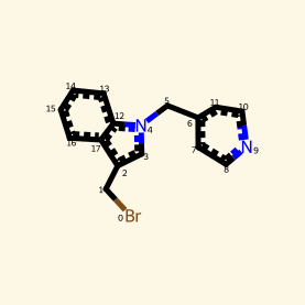 BrCc1cn(Cc2ccncc2)c2ccccc12